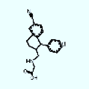 Cl.N#Cc1ccc2c(c1)CCC(CNCC(=O)O)C2c1ccccc1